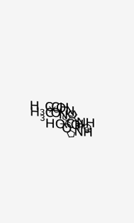 CC(C)(C)OC(=O)N1CC(C)(C(=O)O)c2c(CNC3(C(=O)NC4CCCC4)CCCC3)ccnc21